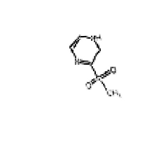 CS(=O)(=O)C1=NC=CNC1